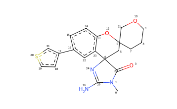 CN1C(=O)C2(CC3(CCCOC3)Oc3ccc(-c4ccsc4)cc32)N=C1N